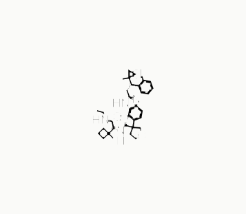 CCNC(=O)[C@H](NC(=O)C1(c2ccc3nc(C[C@H](c4ccccc4Cl)C4(C)CC4)[nH]c3c2)CCOC1)C1(C)CCC1